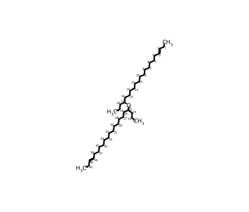 CCC=CCCCCCCCCCCCCCC(CCC)OC(CCC)CCCCCCCCCCCCCC=CCC